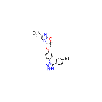 CCc1ccc(-c2nnnn2-c2ccc(OC[C@@]3(C)Cn4cc([N+](=O)[O-])nc4O3)cc2)cc1